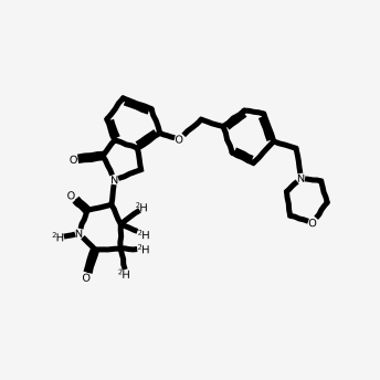 [2H]N1C(=O)C(N2Cc3c(OCc4ccc(CN5CCOCC5)cc4)cccc3C2=O)C([2H])([2H])C([2H])([2H])C1=O